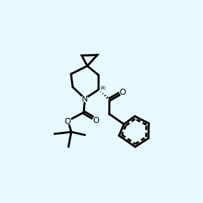 CC(C)(C)OC(=O)N1CCC2(CC2)C[C@@H]1C(=O)Cc1ccccc1